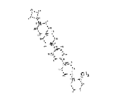 CC1CCCCN1C1CCN(c2ccc(N3CCC4(CC3)CCN(C3CCC3)CC4)nc2)CC1